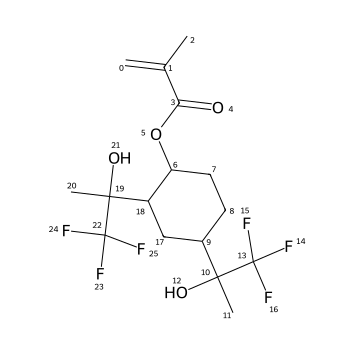 C=C(C)C(=O)OC1CCC(C(C)(O)C(F)(F)F)CC1C(C)(O)C(F)(F)F